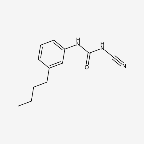 CCCCc1cccc(NC(=O)NC#N)c1